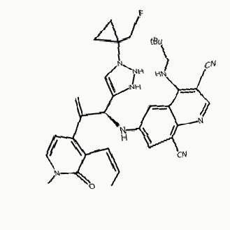 C=C(c1ccn(C)c(=O)c1/C=C\C)[C@H](Nc1cc(C#N)c2ncc(C#N)c(NCC(C)(C)C)c2c1)C1=CN(C2(CF)CC2)NN1